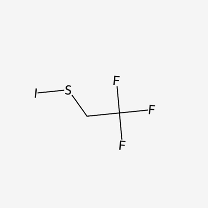 FC(F)(F)CSI